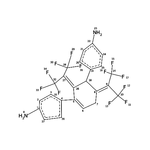 Nc1ccc(C2=CCC(=C(C(F)(F)F)C(F)(F)F)C(c3ccc(N)cc3)C2=C(C(F)(F)F)C(F)(F)F)cc1